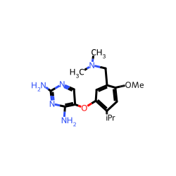 COc1cc(C(C)C)c(Oc2cnc(N)nc2N)cc1CN(C)C